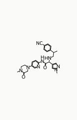 CC(CN[C@H](C(=O)Nc1ccc(N2CCN(C)C(=O)C2)cn1)c1cnn(C)c1)c1ccc(C#N)cc1